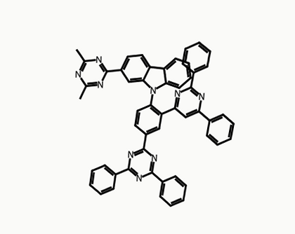 Cc1nc(C)nc(-c2ccc3c4ccccc4n(-c4ccc(-c5nc(-c6ccccc6)nc(-c6ccccc6)n5)cc4-c4cc(-c5ccccc5)nc(-c5ccccc5)n4)c3c2)n1